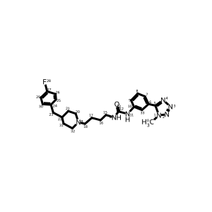 Cn1nnnc1-c1cccc(NC(=O)NCCCCN2CCC(Cc3ccc(F)cc3)CC2)c1